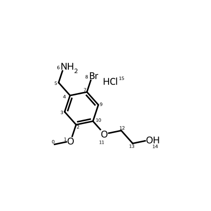 COc1cc(CN)c(Br)cc1OCCO.Cl